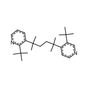 CC(C)(C)c1cnccc1C(C)(C)CCC(C)(C)c1cccnc1C(C)(C)C